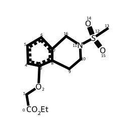 CCOC(=O)COc1cccc2c1CCN(S(C)(=O)=O)C2